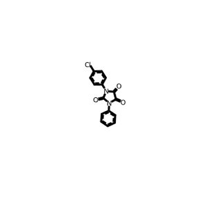 O=C1C(=O)N(c2ccc(Cl)cc2)C(=O)N1c1ccccc1